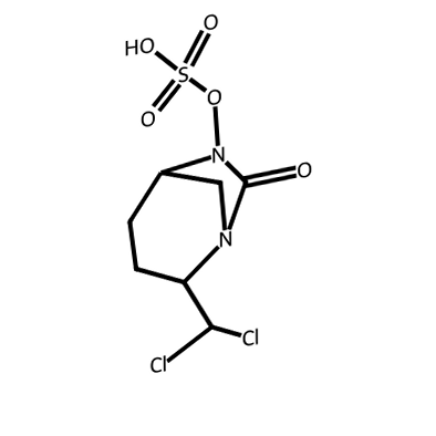 O=C1N2CC(CCC2C(Cl)Cl)N1OS(=O)(=O)O